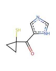 O=C(c1cnc[nH]1)C1(S)CC1